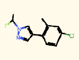 Cc1cc(Cl)ccc1-c1cnn(C(C)F)c1